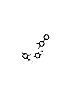 COC(=O)c1ccc(Cl)cc1COc1cc(C)c2nc(C)n(Cc3ccc(-c4ccccc4)cc3Cl)c2c1